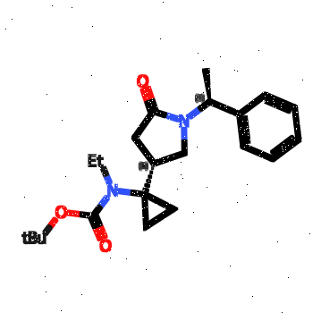 CCN(C(=O)OC(C)(C)C)C1([C@@H]2CC(=O)N([C@@H](C)c3ccccc3)C2)CC1